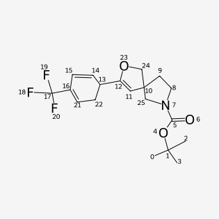 CC(C)(C)OC(=O)N1CCC2(C=C(C3C=CC(C(F)(F)F)=CC3)OC2)C1